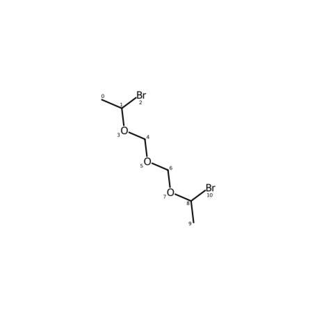 CC(Br)OCOCOC(C)Br